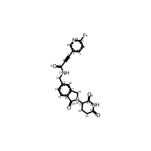 O=C(C#Cc1ccc(F)nc1)NCc1ccc2c(c1)CN(C1CCC(=O)NC1=O)C2=O